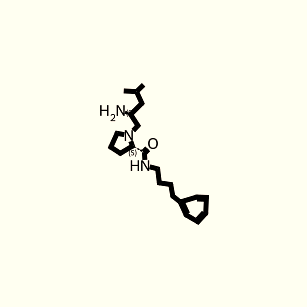 CC(C)C[C@H](N)CN1CCC[C@H]1C(=O)NCCCCc1ccccc1